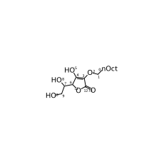 CCCCCCCCCOC1=C(O)C(C(O)CO)OC1=O